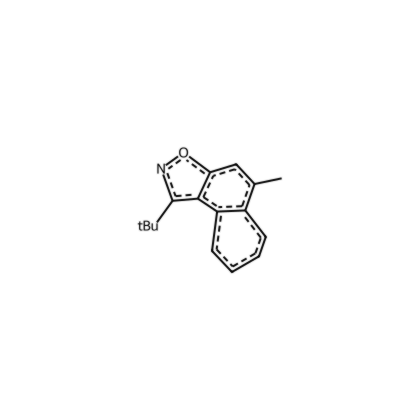 Cc1cc2onc(C(C)(C)C)c2c2ccccc12